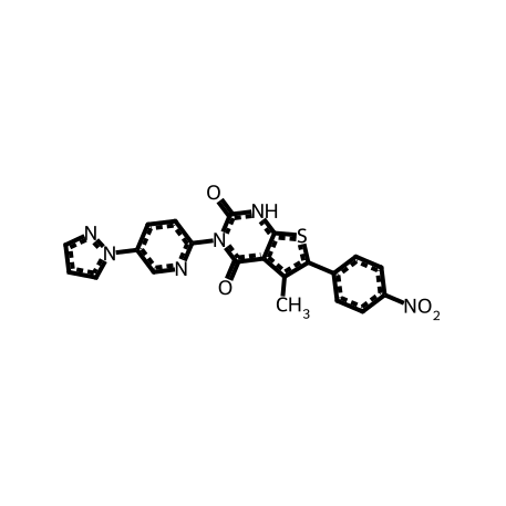 Cc1c(-c2ccc([N+](=O)[O-])cc2)sc2[nH]c(=O)n(-c3ccc(-n4cccn4)cn3)c(=O)c12